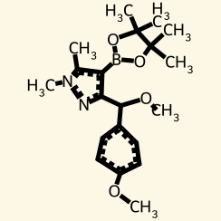 COc1ccc(C(OC)c2nn(C)c(C)c2B2OC(C)(C)C(C)(C)O2)cc1